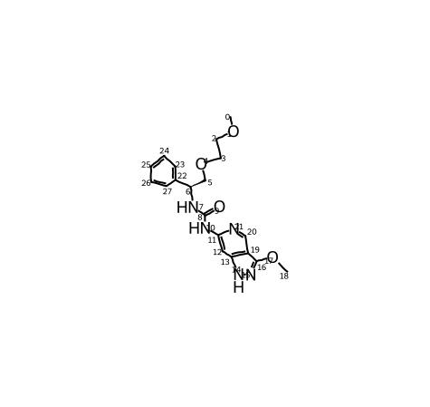 COCCOC[C@@H](NC(=O)Nc1cc2[nH]nc(OC)c2cn1)c1ccccc1